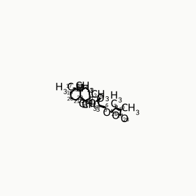 CC1=C(C)C(O/C=C/C(=O)O[C@]2(C)CC[C@H]3C(C)(C)CCC[C@]3(C)[C@H]2C)OC1=O